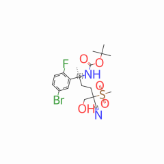 CC(C)(C)OC(=O)N[C@@](C)(CCC(C#N)(CO)S(C)(=O)=O)c1cc(Br)ccc1F